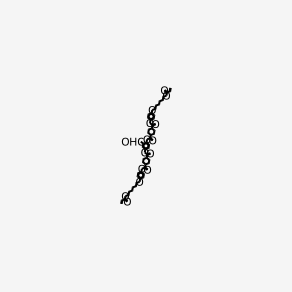 C=CC(=O)OCCCCCCOc1ccc(OC(=O)C2CCC(C(=O)Oc3ccc(OC(=O)C4CCC(C(=O)Oc5ccc(OCCCCCCOC(=O)C=C)cc5)CC4)c(C=O)c3)CC2)cc1